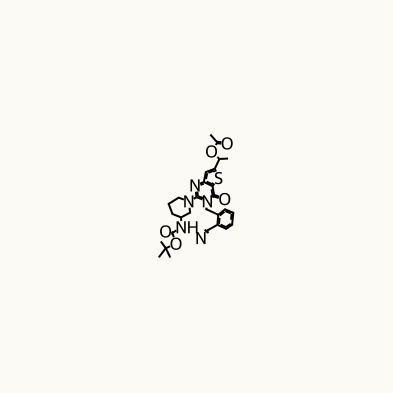 CC(=O)OC(C)c1cc2nc(N3CCCC(NC(=O)OC(C)(C)C)C3)n(Cc3ccccc3C#N)c(=O)c2s1